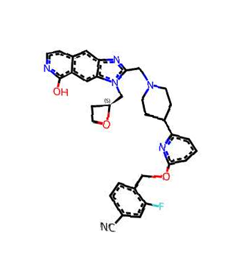 N#Cc1ccc(COc2cccc(C3CCN(Cc4nc5cc6ccnc(O)c6cc5n4C[C@@H]4CCO4)CC3)n2)c(F)c1